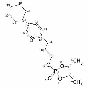 CCOP(=O)(OCC)OCCCc1ccc(C2CCCCC2)cc1